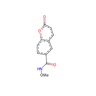 CONC(=O)c1ccc2oc(=O)ccc2c1